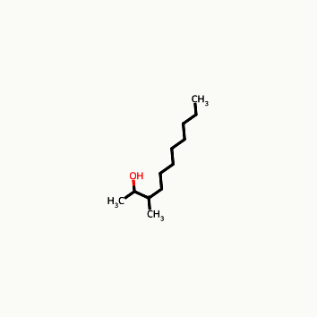 CCCCCCCC[C](C)C(C)O